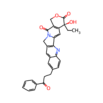 CC[C@@]1(O)C(=O)OCc2c1cc1n(c2=O)Cc2cc3cc(CCC(=O)c4ccccc4)ccc3nc2-1